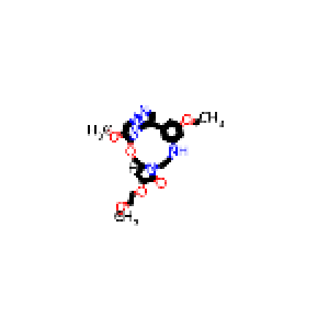 CCOc1cc2cc(c1)-c1cnn3cc(OC)c(nc13)OC[C@@H]1C[C@@H](OCCOC)C(=O)N1CCN2